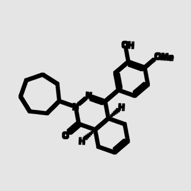 COc1ccc(C2=NN(C3CCCCCC3)C(=O)[C@@H]3CC=CC[C@H]23)cc1O